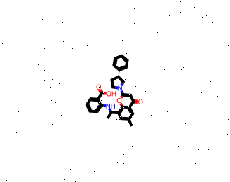 Cc1cc(C(C)Nc2ccccc2C(=O)O)c2oc(N3CC[C@H](c4ccccc4)C3)cc(=O)c2c1